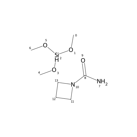 CO[SiH](OC)OC.NC(=O)N1CCC1